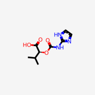 CC(C)[C@H](OC(=O)Nc1ncc[nH]1)C(=O)O